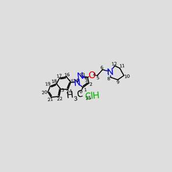 Cc1cc(OCCN2CCCCC2)nn1-c1ccc2ccccc2c1.Cl